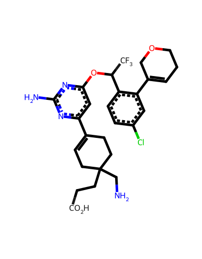 NCC1(CCC(=O)O)CC=C(c2cc(OC(c3ccc(Cl)cc3C3=CCCOC3)C(F)(F)F)nc(N)n2)CC1